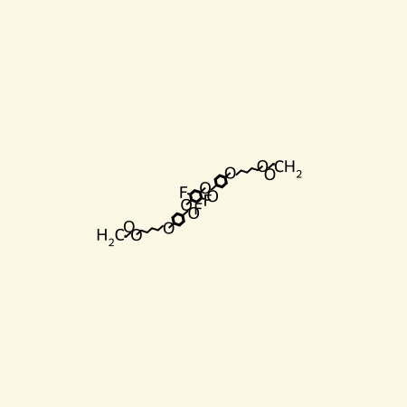 C=CC(=O)OCCCCCOc1ccc(C(=O)Oc2cc(F)c(OC(=O)c3ccc(OCCCCCOC(=O)C=C)cc3)c(F)c2F)cc1